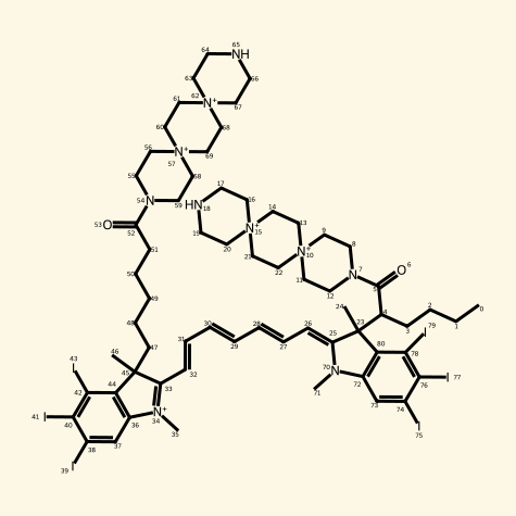 CCCCC(C(=O)N1CC[N+]2(CC1)CC[N+]1(CCNCC1)CC2)C1(C)/C(=C/C=C/C=C/C=C/C2=[N+](C)c3cc(I)c(I)c(I)c3C2(C)CCCCCC(=O)N2CC[N+]3(CC2)CC[N+]2(CCNCC2)CC3)N(C)c2cc(I)c(I)c(I)c21